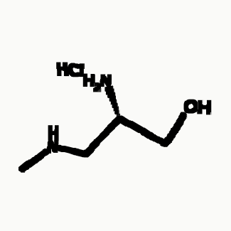 CNC[C@H](N)CO.Cl